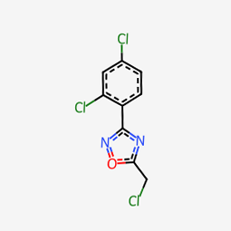 ClCc1nc(-c2ccc(Cl)cc2Cl)no1